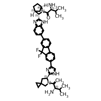 C=C([C@@H](N)C(C)C)N1CC2(CC2)C[C@H]1c1nc(-c2ccc3c(c2)C(F)(F)c2cc(-c4ccc5nc([C@@H]6[C@H]7CC[C@H](C7)N6C(=O)[C@@H](N)C(C)C)[nH]c5c4)ccc2-3)c[nH]1